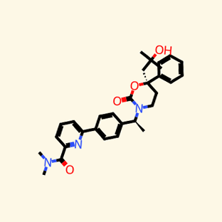 C[C@@H](c1ccc(-c2cccc(C(=O)N(C)C)n2)cc1)N1CC[C@](CC(C)(C)O)(c2ccccc2)OC1=O